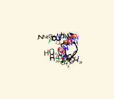 COc1cc(O[C@@H]2C[C@H]3C(=O)N[C@]4(C(=O)NS(=O)(=O)C5(C)CC5)C[C@H]4/C=C\CC[C@@H](C)C[C@@H](C)[C@H](N(C(=O)O)C(C)(C)C(C)(F)F)C(=O)N3C2)c2cc(F)c(OC)cc2n1